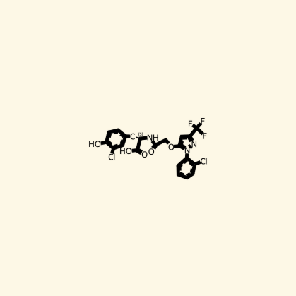 O=C(COc1cc(C(F)(F)F)nn1-c1ccccc1Cl)N[C@@H](Cc1ccc(O)c(Cl)c1)C(=O)O